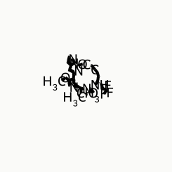 CCN1C(=O)N[C@@H](CCC(F)(F)F)CCCCCOc2nc(cc3ccnn23)-c2cc(ncc2OC)C1C